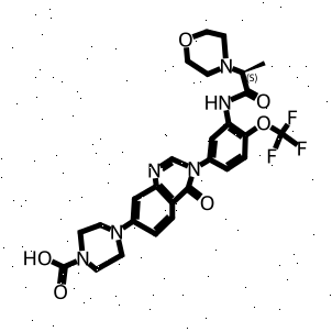 C[C@@H](C(=O)Nc1cc(-n2cnc3cc(N4CCN(C(=O)O)CC4)ccc3c2=O)ccc1OC(F)(F)F)N1CCOCC1